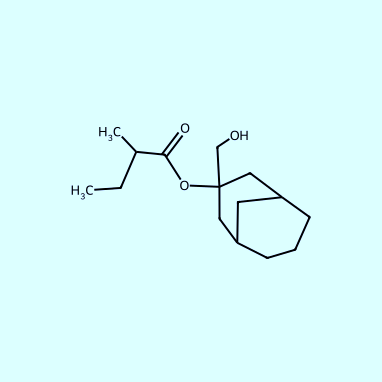 CCC(C)C(=O)OC1(CO)CC2CCCC(C2)C1